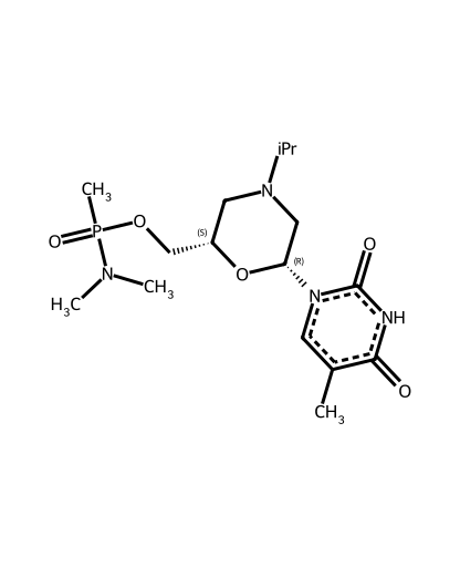 Cc1cn([C@H]2CN(C(C)C)C[C@@H](COP(C)(=O)N(C)C)O2)c(=O)[nH]c1=O